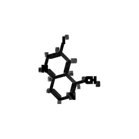 Cc1nccc2ncc(I)cc12